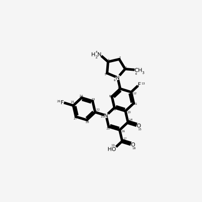 CC1CC(N)CN1c1cc2c(cc1F)c(=O)c(C(=O)O)cn2-c1ccc(F)cc1